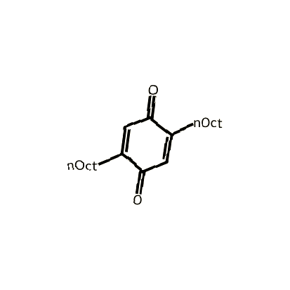 CCCCCCCCC1=CC(=O)C(CCCCCCCC)=CC1=O